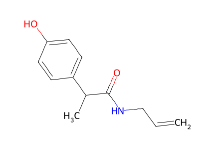 C=CCNC(=O)C(C)c1ccc(O)cc1